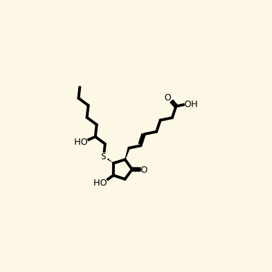 CCCCCC(O)CS[C@H]1C(O)CC(=O)[C@@H]1CC=CCCCC(=O)O